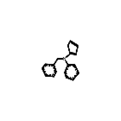 C1=CCC(N(Cc2ccccc2)c2ccccc2)=C1